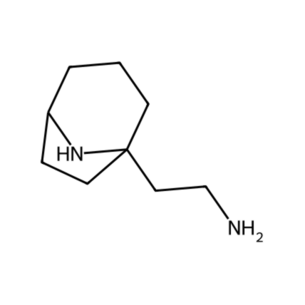 NCCC12CCCC(CC1)N2